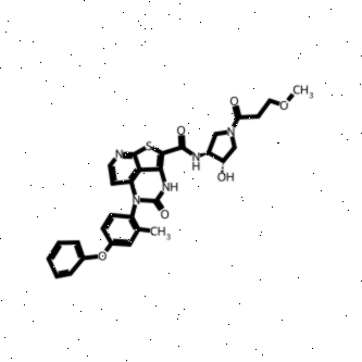 COCCC(=O)N1C[C@H](NC(=O)c2sc3nccc4c3c2NC(=O)N4c2ccc(Oc3ccccc3)cc2C)[C@@H](O)C1